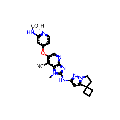 Cn1c(Nc2cc3n(n2)CCC32CCC2)nc2ncc(Oc3ccnc(NC(=O)O)c3)c(C#N)c21